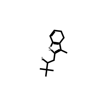 Cc1c(CC(I)C(C)(C)C)sc2c1CCC=C2